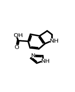 O=C(O)c1ccc2c(c1)CCN2.c1c[nH]cn1